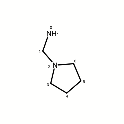 [NH]CN1CCCC1